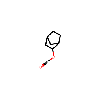 O=BOC1CC2CCC1C2